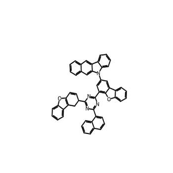 C1=CC(c2nc(-c3cccc4ccccc34)nc(-c3cc(-n4c5ccccc5c5cc6ccccc6cc54)cc4c3oc3ccccc34)n2)Cc2c1oc1ccccc21